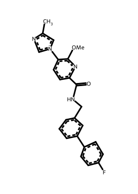 COc1nc(C(=O)NCc2cccc(-c3ccc(F)cc3)c2)ccc1-n1cnc(C)c1